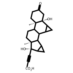 C[C@]12CCC3C(C4CC4[C@]4(O)CC(=O)CC[C@]34C)C1C1CC1[C@@]2(O)C#CC(=O)O